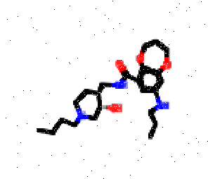 CCCCN1CC[C@@H](CNC(=O)c2cc(NCCC)cc3c2OCCCO3)[C@H](O)C1